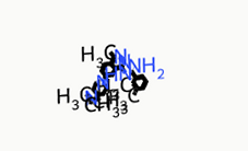 Cc1c([C@@H](N)Nc2nnc(C)c3ccc(N4CCC(C)(N(C)C)CC4)cc23)cccc1C(F)(F)F